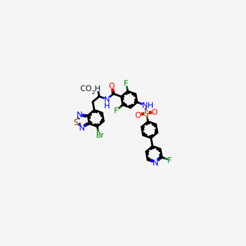 O=C(NC(Cc1ccc(Br)c2nsnc12)C(=O)O)c1c(F)cc(NS(=O)(=O)c2ccc(-c3ccnc(F)c3)cc2)cc1F